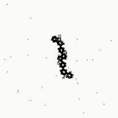 Cn1c2c(c3cc(-c4ccc5c6c(sc5c4)=CCC4C=6C=Cc5sc6cc(-c7ccc8c(c7)c7ccccc7n8C)ccc6c54)ccc31)C=CCC2